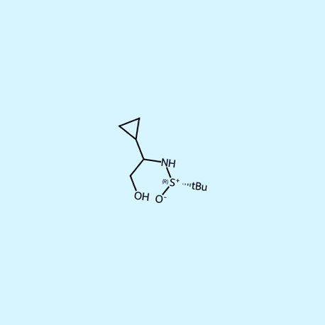 CC(C)(C)[S@+]([O-])NC(CO)C1CC1